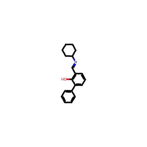 Oc1c(/C=N/C2CCCCC2)cccc1-c1ccccc1